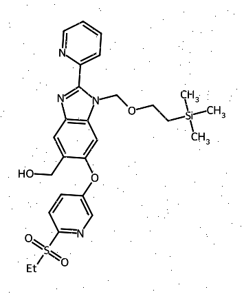 CCS(=O)(=O)c1ccc(Oc2cc3c(cc2CO)nc(-c2ccccn2)n3COCC[Si](C)(C)C)cn1